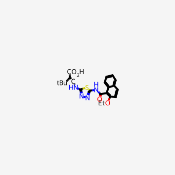 CCOc1ccc2ccccc2c1C(=O)Nc1nnc(NCC(C(=O)O)C(C)(C)C)s1